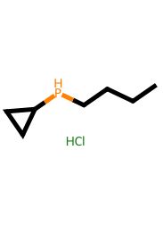 CCCCPC1CC1.Cl